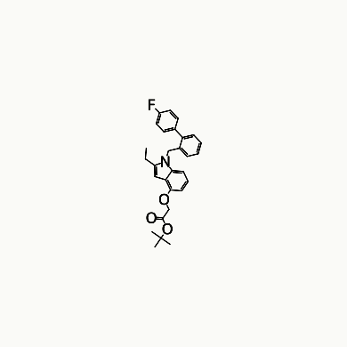 CCc1cc2c(OCC(=O)OC(C)(C)C)cccc2n1Cc1ccccc1-c1ccc(F)cc1